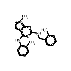 Cc1ccccc1CNc1nc(Nc2ccccc2C)c2cnn(C)c2n1